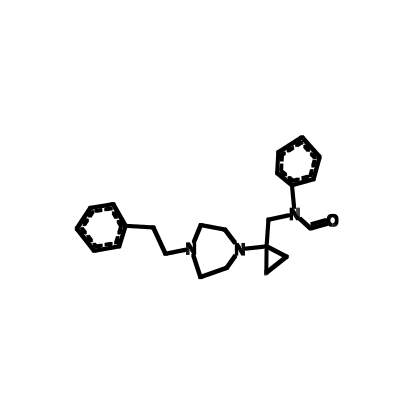 O=CN(CC1(N2CCN(CCc3ccccc3)CC2)CC1)c1ccccc1